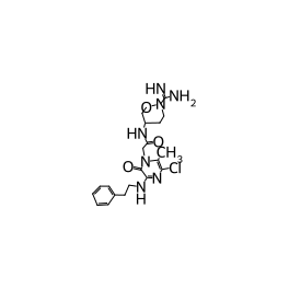 Cc1c(Cl)nc(NCCc2ccccc2)c(=O)n1CC(=O)NC1CCN(C(=N)N)OC1